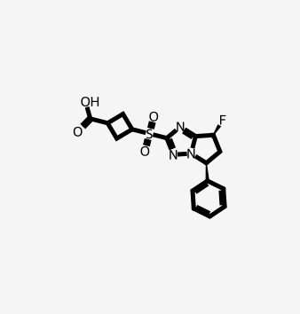 O=C(O)C1CC(S(=O)(=O)c2nc3n(n2)[C@H](c2ccccc2)C[C@@H]3F)C1